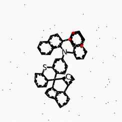 c1ccc(-c2ccc3ccccc3c2N(c2ccc3c(c2)Sc2ccccc2C32c3ccccc3-c3cccc4cccc2c34)c2cccc3ccccc23)cc1